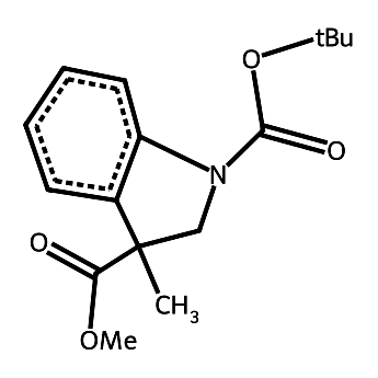 COC(=O)C1(C)CN(C(=O)OC(C)(C)C)c2ccccc21